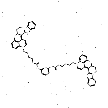 O=C(CCCCCN1C=CC2=C3c4sc5ccccc5[n+]4CCC3Oc3cccc1c32)Nc1cccc(NC(=O)CCCCCN2C=CC3=C4c5sc6ccccc6[n+]5CCC4Oc4cccc2c43)n1